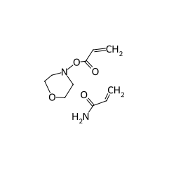 C=CC(=O)ON1CCOCC1.C=CC(N)=O